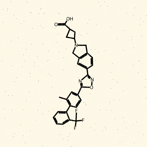 Cc1cc(-c2nc(-c3ccc4c(c3)CN(C3CC(C(=O)O)C3)C4)no2)ccc1-c1ccccc1C(F)(F)F